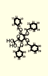 OC(O)[C@H]1O[C@H](OCc2ccccc2)[C@H](OCc2ccccc2)[C@@H](OCc2ccccc2)[C@@H]1OCc1ccccc1